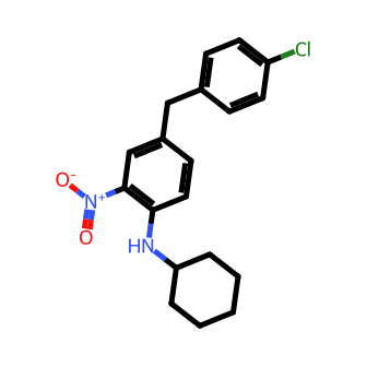 O=[N+]([O-])c1cc(Cc2ccc(Cl)cc2)ccc1NC1CCCCC1